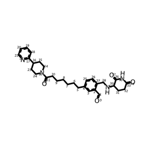 O=Cc1cc(CCCCCCC(=O)N2CCC(c3ccccn3)CC2)ccc1CNC1CCC(=O)NC1=O